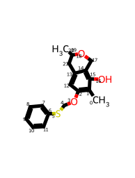 Cc1c(OCSc2ccccc2)cc2c(c1O)COC(C)C2